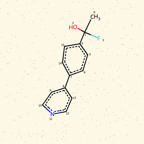 CC(O)(F)c1ccc(-c2ccncc2)cc1